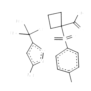 CC(C)(C)c1cc(N)no1.O=C(O)C1(S(=O)(=O)c2ccc(Cl)cc2)CCC1